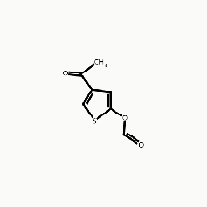 CC(=O)c1csc(OC=O)c1